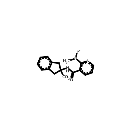 CC(C)N(C)c1ncccc1C(=O)NC1(C(=O)O)Cc2ccccc2C1